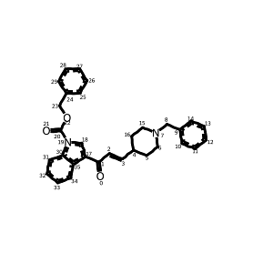 O=C(/C=C/C1CCN(Cc2ccccc2)CC1)c1cn(C(=O)OCc2ccccc2)c2ccccc12